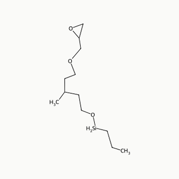 CCC[SiH2]OCCC(C)CCOCC1CO1